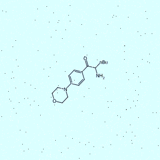 CCCCC(N)C(=O)c1ccc(N2CCOCC2)cc1